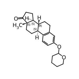 C[C@]12CC[C@@H]3c4ccc(OC5CCCCO5)cc4CC[C@H]3[C@@H]1CCC2=O